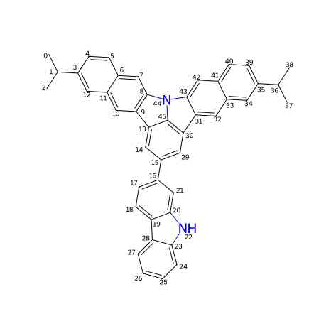 CC(C)c1ccc2cc3c(cc2c1)c1cc(-c2ccc4c(c2)[nH]c2ccccc24)cc2c4cc5cc(C(C)C)ccc5cc4n3c12